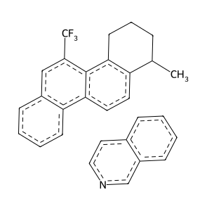 CC1CCCc2c1ccc1c2c(C(F)(F)F)cc2ccccc21.c1ccc2cnccc2c1